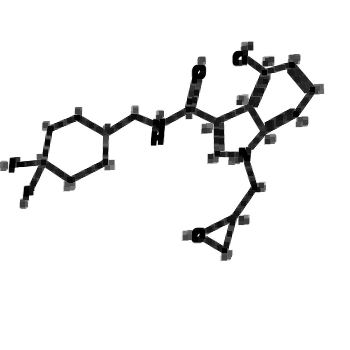 O=C(NCC1CCC(F)(F)CC1)c1cn(CC2CO2)c2cccc(Cl)c12